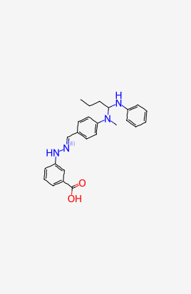 CCCC(Nc1ccccc1)N(C)c1ccc(/C=N/Nc2cccc(C(=O)O)c2)cc1